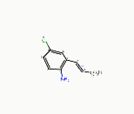 Nc1ccc(Cl)cc1/C=C/C(=O)O